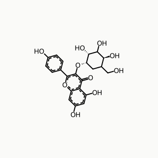 O=c1c(O[C@H]2CC(CO)[C@H](O)C(O)[C@H]2O)c(-c2ccc(O)cc2)oc2cc(O)cc(O)c12